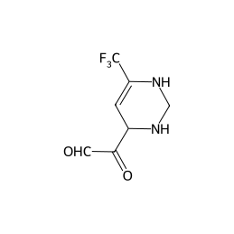 O=CC(=O)C1C=C(C(F)(F)F)NCN1